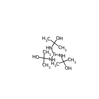 CC(C)(O)[NH][Ti]([NH]C(C)(C)O)[NH]C(C)(C)O